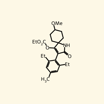 CCOC(=O)OC1=C(c2c(CC)cc(C)cc2CC)C(=O)NC12CCC(OC)CC2